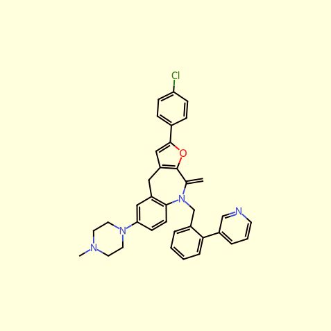 C=C1c2oc(-c3ccc(Cl)cc3)cc2Cc2cc(N3CCN(C)CC3)ccc2N1Cc1ccccc1-c1cccnc1